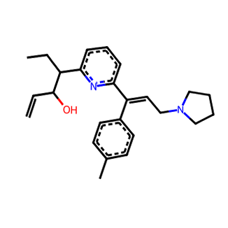 C=CC(O)C(CC)c1cccc(/C(=C/CN2CCCC2)c2ccc(C)cc2)n1